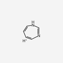 C1=CN=CNC=C1.[H+]